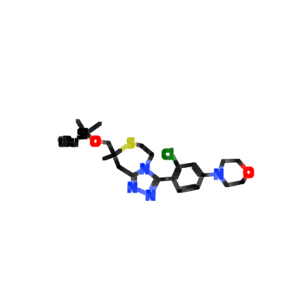 CC1(CO[Si](C)(C)C(C)(C)C)Cc2nnc(-c3ccc(N4CCOCC4)cc3Cl)n2CCS1